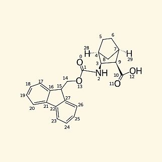 O=C(N[C@H]1[C@H]2CC[C@H](C2)[C@H]1C(=O)O)OCC1c2ccccc2-c2ccccc21